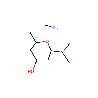 CC(CCO)OC(C)N(C)C.CN